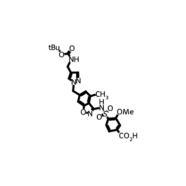 COc1cc(C(=O)O)ccc1S(=O)(=O)Nc1noc2cc(Cn3cc(CNC(=O)OC(C)(C)C)cn3)cc(C)c12